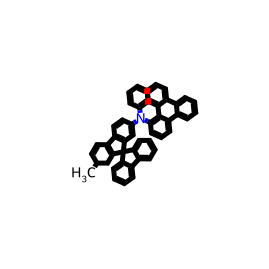 CC1C=CC2=C(C1)C1(c3cc(N(c4ccccc4)c4cccc5c6ccccc6c6ccccc6c45)ccc32)c2ccccc2-c2ccccc21